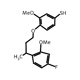 COc1cc(S)ccc1OCCC(C)c1ccc(F)cc1OC